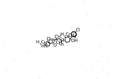 CN1NCC(C(=O)NC(C)(C)CC(=O)N2CC[C@](O)(c3ccc(Cl)cc3)C(C)(C)C2)=C1Cl